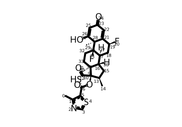 Cc1ncsc1C(=O)O[C@]1(C(=O)S)[C@H](C)C[C@H]2[C@@H]3C[C@H](F)C4=CC(=O)C=C(O)[C@]4(C)[C@@]3(F)CC[C@@]21C